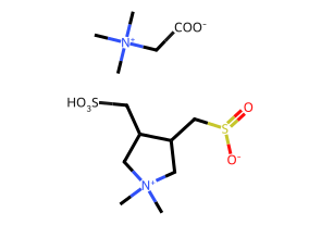 C[N+](C)(C)CC(=O)[O-].C[N+]1(C)CC(CS(=O)[O-])C(CS(=O)(=O)O)C1